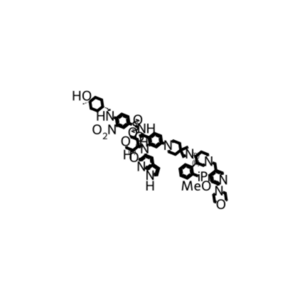 COc1cc(CN2CC[C@@H](N3CC4(CCN(c5ccc(C(=O)NS(=O)(=O)c6ccc(NC[C@H]7CC[C@](C)(O)CC7)c([N+](=O)[O-])c6)c(N6c7cc8cc[nH]c8nc7O[C@H]7COCC[C@@H]76)c5)CC4)C3)[C@H](c3ccccc3C(C)C)C2)cnc1N1CCOCC1